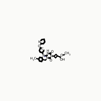 CCOC(O)C1CC(n2c(=O)[nH]/c(=N\c3ccc(Oc4ccccn4)cc3)n(Cc3ccc(C)cc3)c2=O)C1